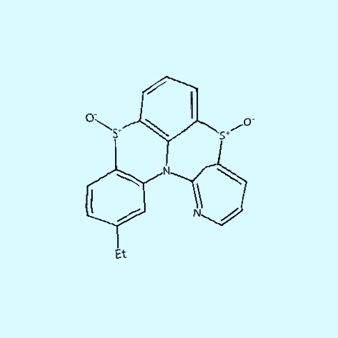 CCc1ccc2c(c1)N1c3ncccc3[S+]([O-])c3cccc(c31)[S+]2[O-]